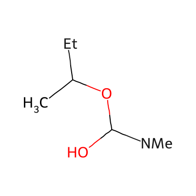 CCC(C)OC(O)NC